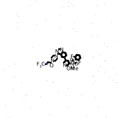 COc1ncc(-c2ccc3ncnc(N4CCN(C(=O)/C=C/C(F)(F)F)CC4)c3c2)cc1NS(=O)(=O)c1c(F)cccc1F